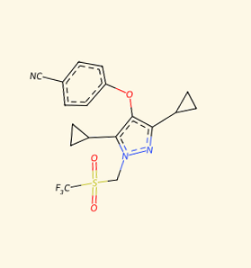 N#Cc1ccc(Oc2c(C3CC3)nn(CS(=O)(=O)C(F)(F)F)c2C2CC2)cc1